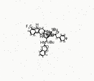 CCC(C)[C@H](NC(=O)Cc1ccccc1F)C(N[C@]1(C(=O)N[C@H](NC(=O)Cc2ccncc2)[C@@H](C)CC)CCc2[nH]c3c(C(F)(F)F)cccc3c2C1)=C1CC1